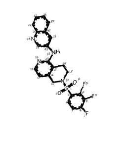 O=S(=O)(c1ccc(F)c(F)c1F)N1CCc2c(ccnc2Nc2cnc3ccccc3c2)C1